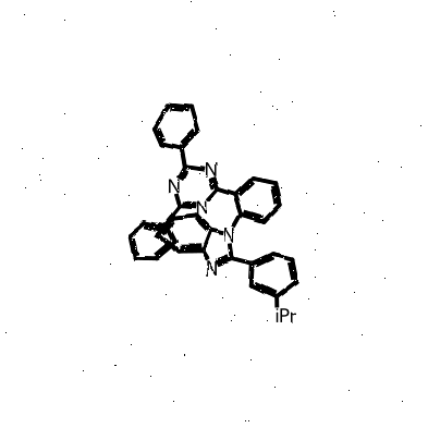 CC(C)c1cccc(-c2nc3ccccc3n2-c2ccccc2-c2nc(-c3ccccc3)nc(-c3ccccc3)n2)c1